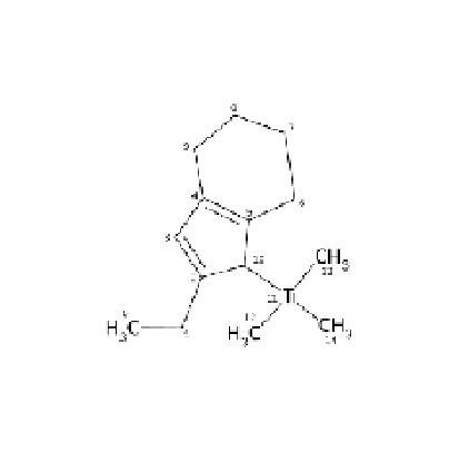 CCC1=CC2=C(CCCC2)[CH]1[Ti]([CH3])([CH3])[CH3]